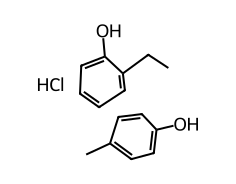 CCc1ccccc1O.Cc1ccc(O)cc1.Cl